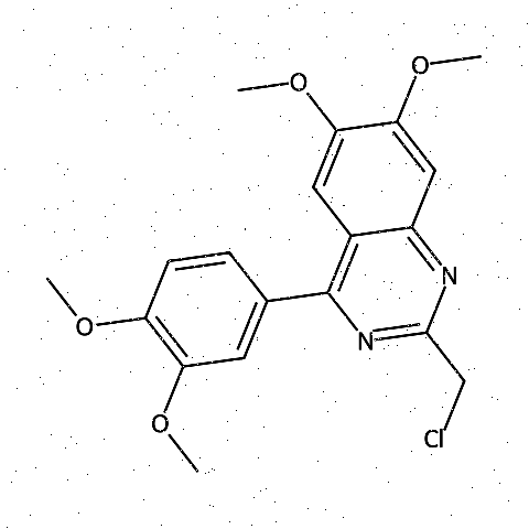 COc1ccc(-c2nc(CCl)nc3cc(OC)c(OC)cc23)cc1OC